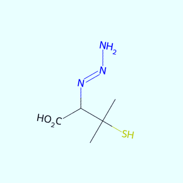 CC(C)(S)C(N=NN)C(=O)O